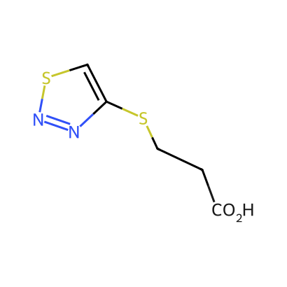 O=C(O)CCSc1csnn1